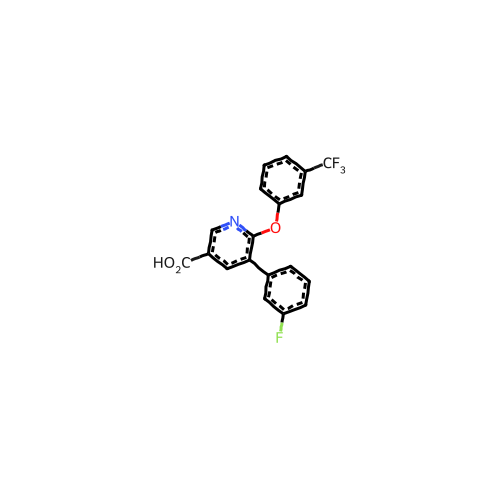 O=C(O)c1cnc(Oc2cccc(C(F)(F)F)c2)c(-c2cccc(F)c2)c1